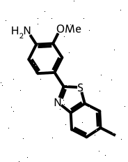 COc1cc(-c2nc3ccc(C)cc3s2)ccc1N